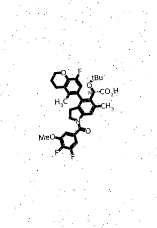 COc1cc(C(=O)N2CCc3c2cc(C)c([C@H](OC(C)(C)C)C(=O)O)c3-c2cc(F)c3c(c2C)CCCO3)cc(F)c1F